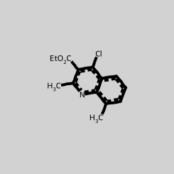 CCOC(=O)c1c(C)nc2c(C)cccc2c1Cl